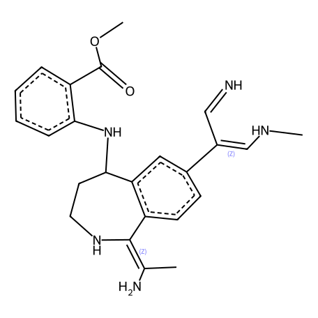 CN/C=C(\C=N)c1ccc2c(c1)C(Nc1ccccc1C(=O)OC)CCN/C2=C(/C)N